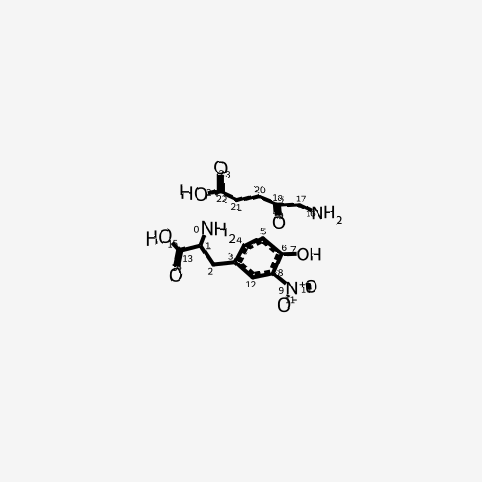 NC(Cc1ccc(O)c([N+](=O)[O-])c1)C(=O)O.NCC(=O)CCC(=O)O